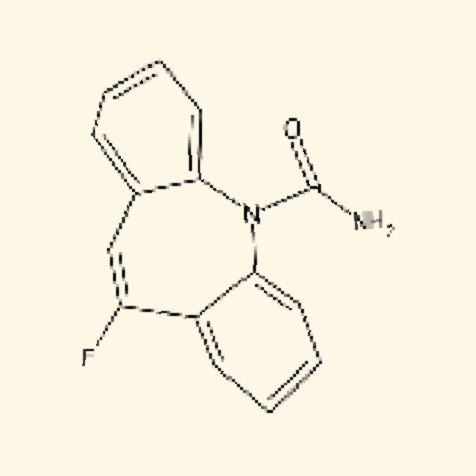 NC(=O)N1c2ccccc2C=C(F)c2ccccc21